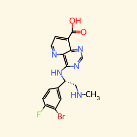 CNC[C@@H](Nc1ncnc2c(C(=O)O)ccnc12)c1ccc(F)c(Br)c1